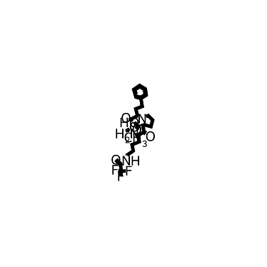 CCOC(=O)C(CCc1ccccc1)N1CCC[C@]1(C(=O)O)C(=O)[C@@H](N)CCCCNC(=O)C(F)(F)F